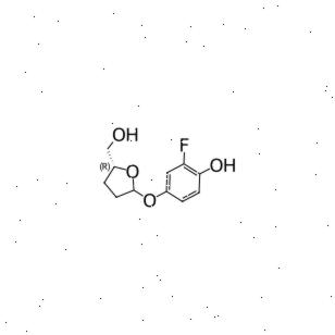 OC[C@H]1CCC(Oc2ccc(O)c(F)c2)O1